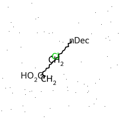 C=CC(CCCCCCCCCCCCCCCCCCCCCCCCCCCC)C(=O)O.C=CCl